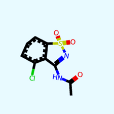 CC(=O)NC1=NS(=O)(=O)c2cccc(Cl)c21